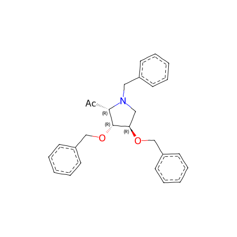 CC(=O)[C@H]1[C@@H](OCc2ccccc2)[C@H](OCc2ccccc2)CN1Cc1ccccc1